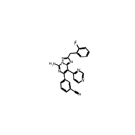 N#Cc1cccc(-c2nc(N)n3nc(Cc4ccccc4F)nc3c2-c2ccncn2)c1